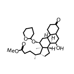 COC(=O)CC[C@@H](C)[C@H]1CC[C@H]2[C@@H]3[C@H](O)CC4CC(=O)CC[C@]4(C)[C@H]3C[C@H](OC3CCCCO3)[C@]12C